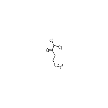 O=C(O)CCC(=O)C(Cl)Cl